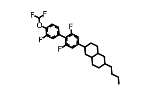 CCCCC1CCC2CC(c3cc(F)c(-c4ccc(OC(F)F)c(F)c4)c(F)c3)CCC2C1